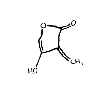 C=C1C(=O)OC=C1O